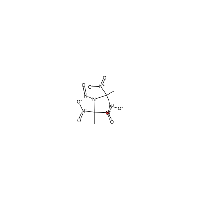 CC(N(N=O)C(C)([N+](=O)[O-])[N+](=O)[O-])([N+](=O)[O-])[N+](=O)[O-]